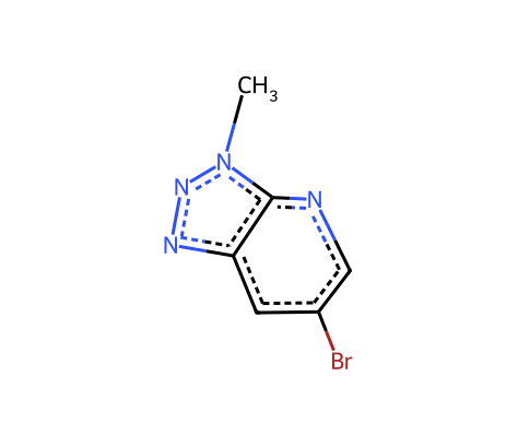 Cn1nnc2cc(Br)cnc21